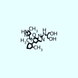 Cc1cc(C(C)n2c(-c3ccccc3C)cc3cnc(NC(CO)CO)nc3c2=O)n[nH]1